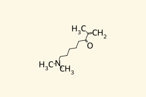 C=C(C)C(=O)CCCCCN(C)C